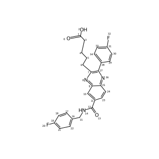 O=C(O)CCCCc1nc2cc(C(=O)NCc3ccc(F)cc3)ccc2nc1-c1ccc(F)cc1